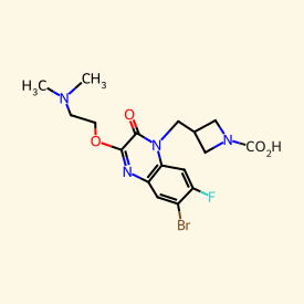 CN(C)CCOc1nc2cc(Br)c(F)cc2n(CC2CN(C(=O)O)C2)c1=O